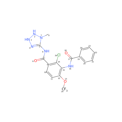 CN1NNN=C1NC(=O)c1ccc(OC(F)(F)F)c(NC(=O)c2ccccc2)c1Cl